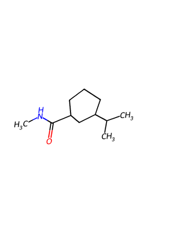 CNC(=O)C1CCCC(C(C)C)C1